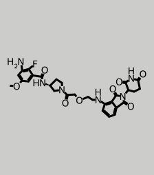 COc1cc(N)c(F)c(C(=O)N[C@H]2CCN(C(=O)COCCNc3cccc4c3C(=O)N(C3CCC(=O)NC3=O)C4=O)C2)c1